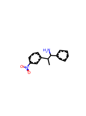 CC(c1cccc([N+](=O)[O-])c1)C(N)c1ccccc1